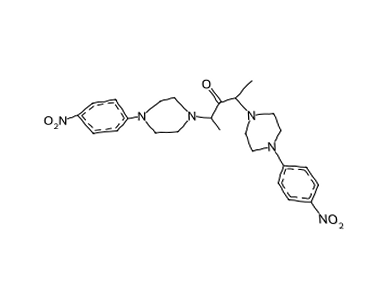 CC(C(=O)C(C)N1CCN(c2ccc([N+](=O)[O-])cc2)CC1)N1CCN(c2ccc([N+](=O)[O-])cc2)CC1